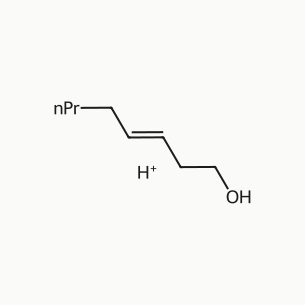 CCCCC=CCCO.[H+]